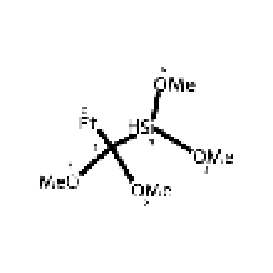 CCC(OC)(OC)[SiH](OC)OC